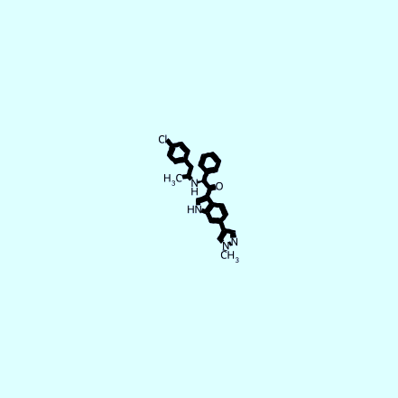 CC(Cc1ccc(Cl)cc1)N[C@H](C(=O)c1c[nH]c2cc(-c3cnn(C)c3)ccc12)c1ccccc1